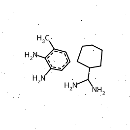 Cc1cccc(N)c1N.NC(N)C1CCCCC1